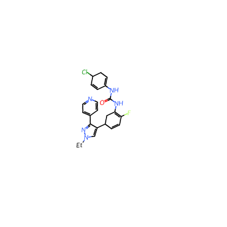 CCn1cc(C2C=CC(F)=C(NC(=O)NC3=CCC(Cl)C=C3)C2)c(-c2ccncc2)n1